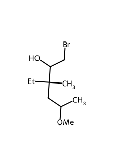 CCC(C)(CC(C)OC)C(O)CBr